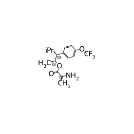 CC(C)[C@@H](c1ccc(OC(F)(F)F)cc1)[C@H](C)OC(=O)[C@H](C)N